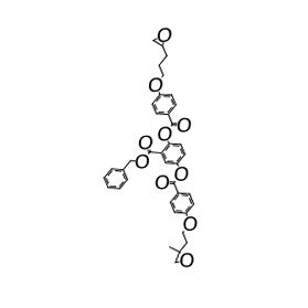 CC1(CCOc2ccc(C(=O)Oc3ccc(OC(=O)c4ccc(OCCCC5CO5)cc4)c(C(=O)OCc4ccccc4)c3)cc2)CO1